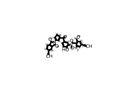 C#Cc1ccc(C(=O)N(C)c2cc(C(=O)c3cccc(N4C(=O)c5ccc(C#C)cc5C4=O)c3)ccc2O)c(C=O)c1